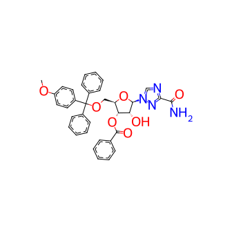 COc1ccc(C(OC[C@H]2O[C@@H](n3cnc(C(N)=O)n3)[C@H](O)[C@@H]2OC(=O)c2ccccc2)(c2ccccc2)c2ccccc2)cc1